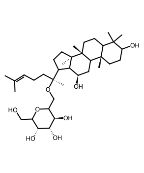 CC(C)=CCC[C@](C)(OCC1OC(CO)[C@@H](O)[C@@H](O)[C@@H]1O)C1CC[C@]2(C)C1[C@H](O)CC1[C@@]3(C)CCC(O)C(C)(C)C3CC[C@]12C